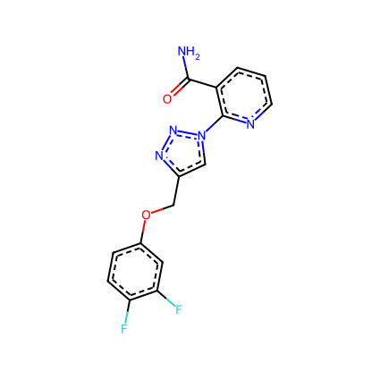 NC(=O)c1cccnc1-n1cc(COc2ccc(F)c(F)c2)nn1